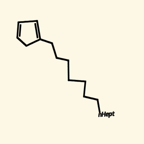 CCCCCCCCCCCCCCC1=CC=CC1